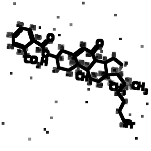 CC(C)CCC[C@@H](C)[C@H]1CCC2C3C(=O)C=C4CC(OC(=O)c5ccccc5C(=O)O)CC[C@]4(C)C3CC[C@@]21C